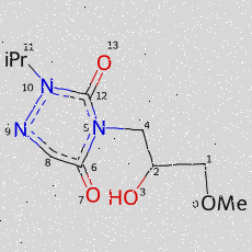 COCC(O)Cn1c(=O)cnn(C(C)C)c1=O